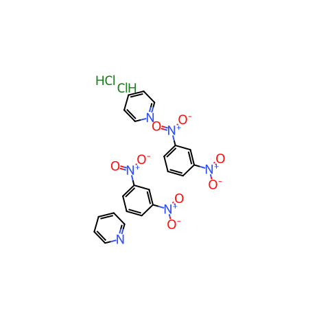 Cl.Cl.O=[N+]([O-])c1cccc([N+](=O)[O-])c1.O=[N+]([O-])c1cccc([N+](=O)[O-])c1.c1ccncc1.c1ccncc1